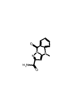 Cn1c2ccccc2c(=O)n2nc(C(N)=O)cc12